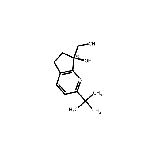 CC[C@@]1(O)CCc2ccc(C(C)(C)C)nc21